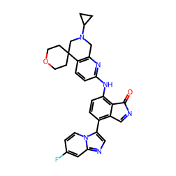 O=C1N=Cc2c(-c3cnc4cc(F)ccn34)ccc(Nc3ccc4c(n3)CN(C3CC3)CC43CCOCC3)c21